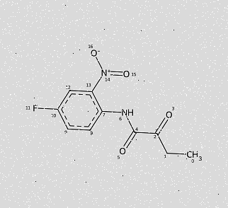 CCC(=O)C(=O)Nc1ccc(F)cc1[N+](=O)[O-]